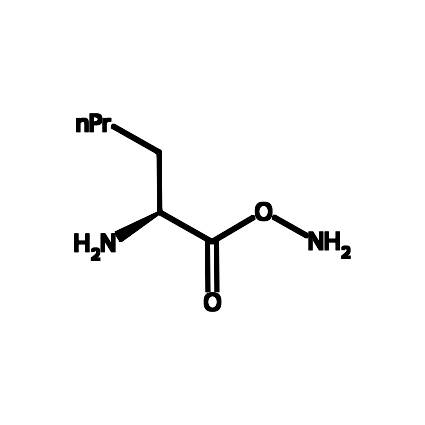 CCCC[C@H](N)C(=O)ON